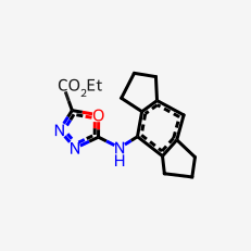 CCOC(=O)c1nnc(Nc2c3c(cc4c2CCC4)CCC3)o1